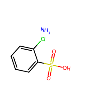 N.O=S(=O)(O)c1ccccc1Cl